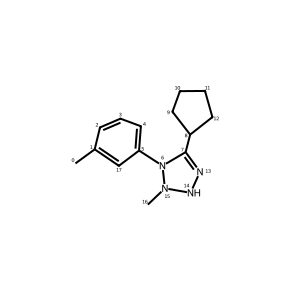 Cc1cccc(N2C(C3CCCC3)=NNN2C)c1